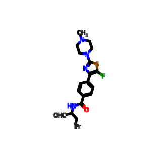 CC(C)CC(C=O)NC(=O)c1ccc(-c2nc(N3CCN(C)CC3)sc2F)cc1